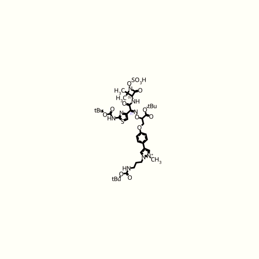 C[n+]1cc(-c2ccc(OCC(O/N=C(/C(=O)N[C@@H]3C(=O)N(OS(=O)(=O)O)C3(C)C)c3csc(NC(=O)OC(C)(C)C)n3)C(=O)OC(C)(C)C)cc2)cn1CCCNC(=O)OC(C)(C)C